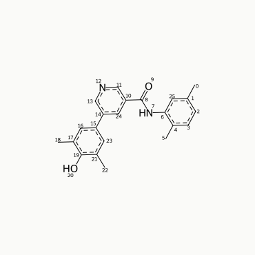 Cc1ccc(C)c(NC(=O)c2cncc(-c3cc(C)c(O)c(C)c3)c2)c1